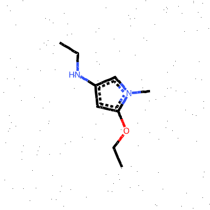 CCNc1cc(OCC)n(C)c1